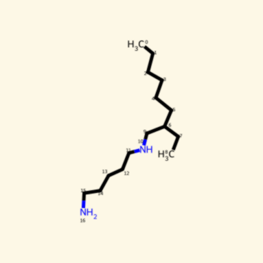 CCCCCCC(CC)CNCCCCCN